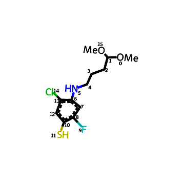 COC(CCCNc1cc(F)c(S)cc1Cl)OC